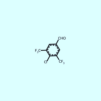 O=Cc1cc(C(F)(F)F)c(Cl)c(C(F)(F)F)c1